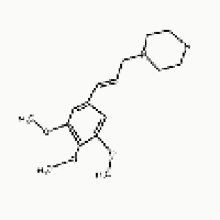 COc1cc(C=CCN2CC[N]CC2)cc(OC)c1OC